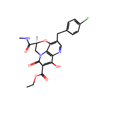 CCOC(=O)c1c(O)c2ncc(Cc3ccc(F)cc3)c3c2n(c1=O)C[C@@](C)(C(=O)NC)O3